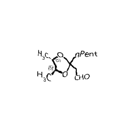 CCCCCC1(CC=O)O[C@@H](C)[C@H](C)O1